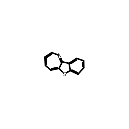 C1=CC=c2sc3ccccc3c2=NC=1